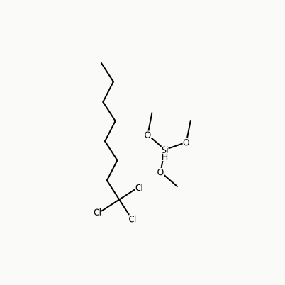 CCCCCCCC(Cl)(Cl)Cl.CO[SiH](OC)OC